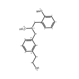 COc1ccccc1CN(Cc1cccc(CCO)c1)C(=O)O